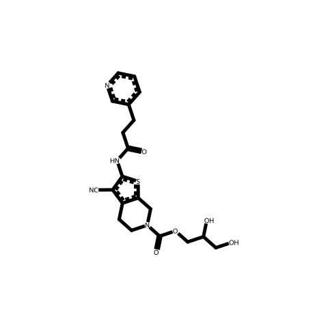 N#Cc1c(NC(=O)CCc2cccnc2)sc2c1CCN(C(=O)OCC(O)CO)C2